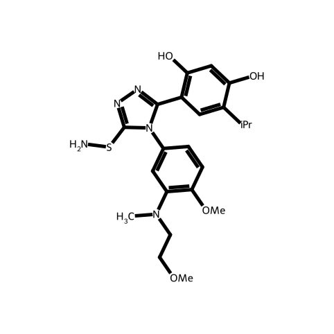 COCCN(C)c1cc(-n2c(SN)nnc2-c2cc(C(C)C)c(O)cc2O)ccc1OC